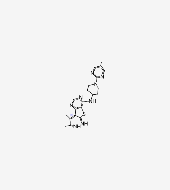 CC(=N)/C(C)=C1\C(=N)Sc2c(NC3CCN(c4ncc(C)cn4)CC3)ncnc21